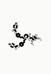 Nc1nc(N)c(C(=O)N[C@H]2CCC[N+](CCCc3ccc(OCC(=O)N4CC[S+]([O-])CC4)cc3)(CCCc3ccc(OCC(=O)N4CC[S+]([O-])CC4)cc3)C2)nc1Cl